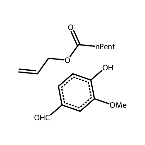 C=CCOC(=O)CCCCC.COc1cc(C=O)ccc1O